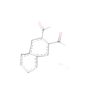 O=C([O-])c1cc2ccccc2cc1C(=O)[O-].[Na+].[Na+]